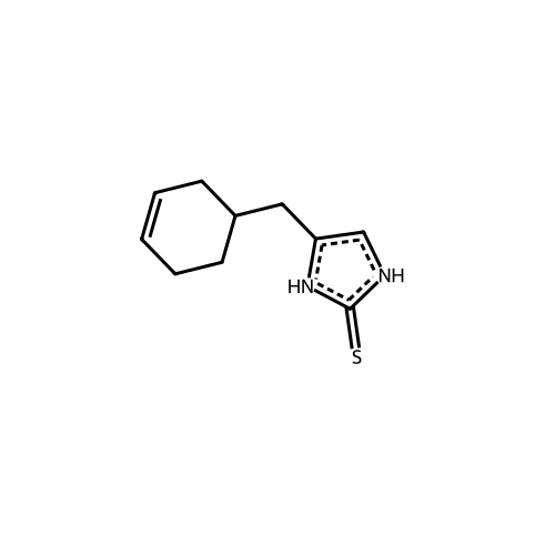 S=c1[nH]cc(CC2CC=CCC2)[nH]1